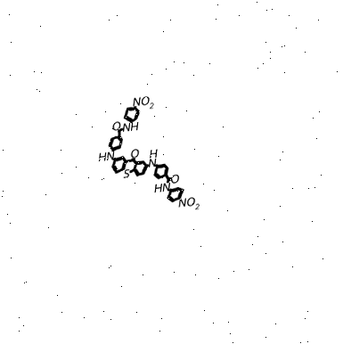 O=C(Nc1ccc([N+](=O)[O-])cc1)c1ccc(Nc2ccc3sc4ccc(Nc5ccc(C(=O)Nc6ccc([N+](=O)[O-])cc6)cc5)cc4c(=O)c3c2)cc1